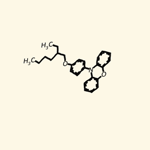 CCCCC(CC)COc1ccc(N2c3ccccc3Oc3ccccc32)cc1